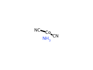 N.N#[C][Co][C]#N